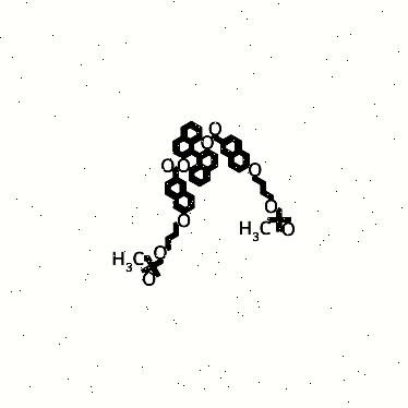 CCC1(COCCCCOc2ccc3cc(C(=O)Oc4ccc5ccccc5c4-c4c(OC(=O)c5ccc6cc(OCCCCOCC7(CC)COC7)ccc6c5)ccc5ccccc45)ccc3c2)COC1